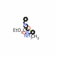 CCOC(=O)C1=C(N(Cc2c(C)cccc2F)C(N)=O)COC12CCN(Cc1ccccc1)CC2